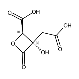 O=C(O)C[C@@]1(O)C(=O)O[C@H]1C(=O)O